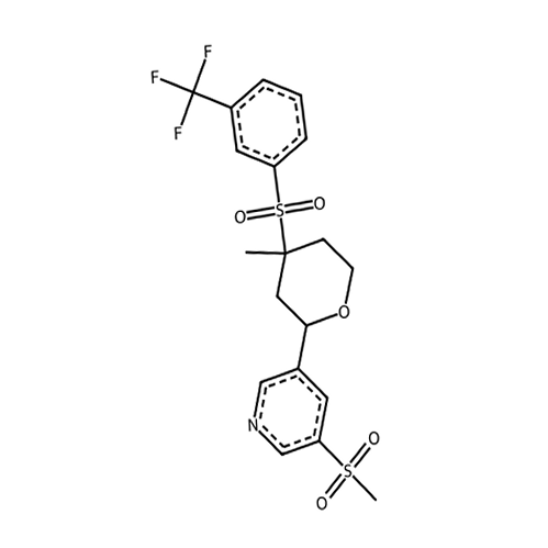 CC1(S(=O)(=O)c2cccc(C(F)(F)F)c2)CCOC(c2cncc(S(C)(=O)=O)c2)C1